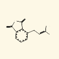 CC(C)=CCc1cccc2c1C(=O)NC2=O